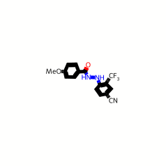 COc1ccc(C(=O)NNc2ccc(C#N)cc2C(F)(F)F)cc1